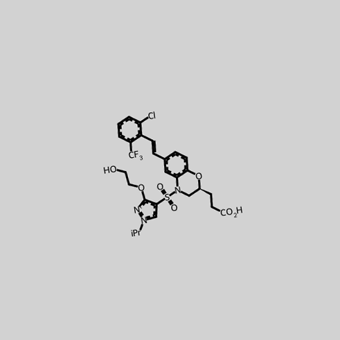 CC(C)n1cc(S(=O)(=O)N2C[C@H](CCC(=O)O)Oc3ccc(/C=C/c4c(Cl)cccc4C(F)(F)F)cc32)c(OCCO)n1